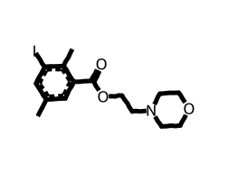 Cc1cc(I)c(C)c(C(=O)OCCN2CCOCC2)c1